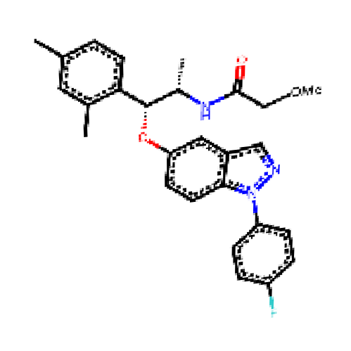 COCC(=O)N[C@@H](C)[C@H](Oc1ccc2c(cnn2-c2ccc(F)cc2)c1)c1ccc(C)cc1C